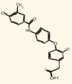 Cc1cc(C(=O)Nc2ccc(Oc3ccc(CC(=O)O)cc3Cl)cc2)ccc1Cl